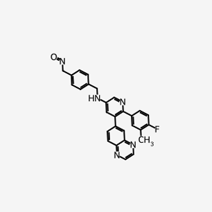 Cc1cc(-c2ncc(NCc3ccc(CN=O)cc3)cc2-c2ccc3nccnc3c2)ccc1F